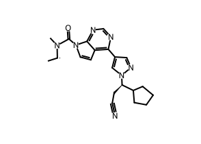 C[CH]N(C)C(=O)n1ccc2c(-c3cnn([C@H](CC#N)C4CCCC4)c3)ncnc21